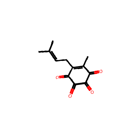 CC(C)=CCc1c(C)c(=O)c(=O)c(=O)c1=O